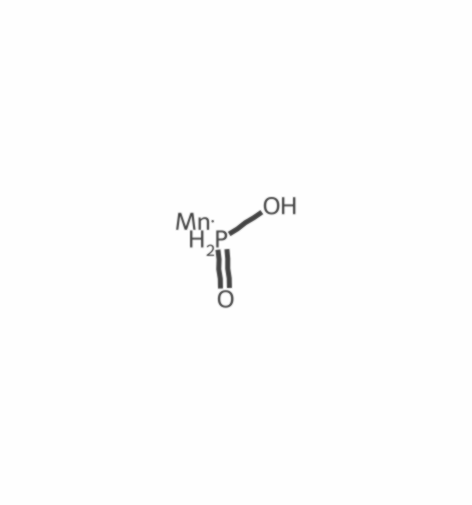 O=[PH2]O.[Mn]